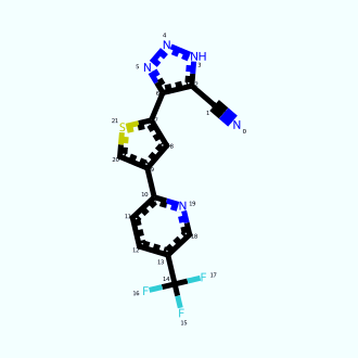 N#Cc1[nH]nnc1-c1cc(-c2ccc(C(F)(F)F)cn2)cs1